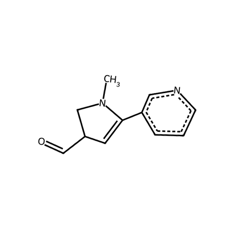 CN1CC(C=O)C=C1c1cccnc1